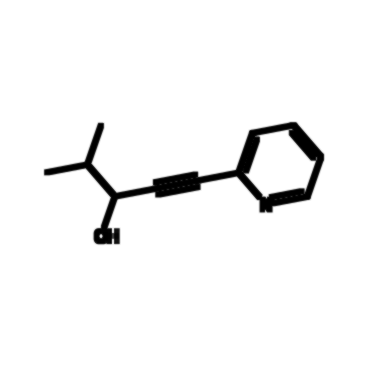 CC(C)C(O)C#Cc1ccccn1